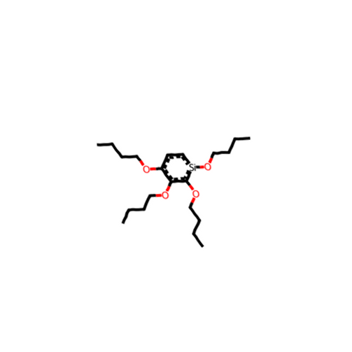 CCCCOc1cc[si](OCCCC)c(OCCCC)c1OCCCC